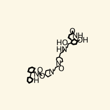 O=C(Nc1ccccc1-c1ccccc1)OC1CCN(CCC(=O)N2CCC(CCNCC(O)c3ccc(O)c4[nH]c(=O)ccc34)CC2)CC1